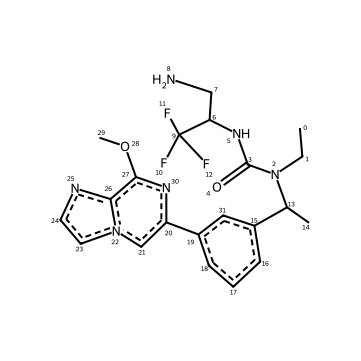 CCN(C(=O)NC(CN)C(F)(F)F)C(C)c1cccc(-c2cn3ccnc3c(OC)n2)c1